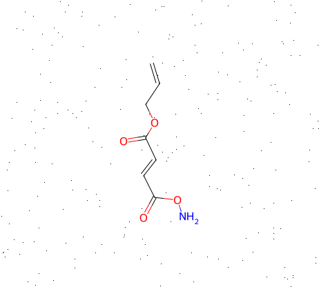 C=CCOC(=O)C=CC(=O)ON